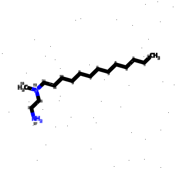 CCCCCCCCCCCCCN(C)CCN